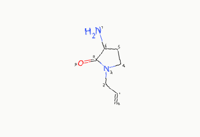 C=CCN1CCC(N)C1=O